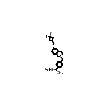 CC(=O)NC(C)c1ccc(CN2CCc3cc(OCC4CC(F)(F)C4)ccc3C2)cc1